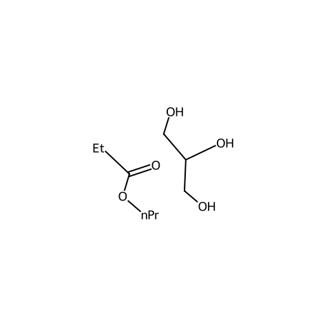 CCCOC(=O)CC.OCC(O)CO